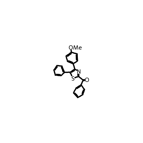 COc1ccc(-c2nc(C(=O)c3ccccc3)sc2-c2ccccc2)cc1